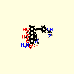 C=C(CN(C)C)Nc1ccc(C#Cc2ccc(O)c3c2C[C@H]2C[C@H]4[C@H](N(C)C)C(O)=C(C(N)=O)C(=O)[C@@]4(O)C(O)=C2C3=O)cc1